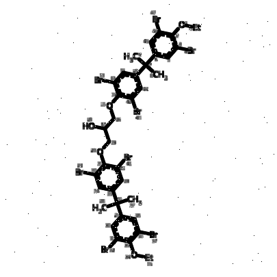 CCOc1c(Br)cc(C(C)(C)c2cc(Br)c(OCC(O)COc3c(Br)cc(C(C)(C)c4cc(Br)c(OCC)c(Br)c4)cc3Br)c(Br)c2)cc1Br